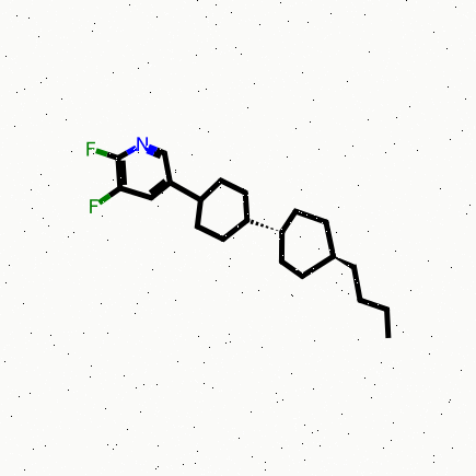 CCCC[C@H]1CC[C@H](C2CCC(c3cnc(F)c(F)c3)CC2)CC1